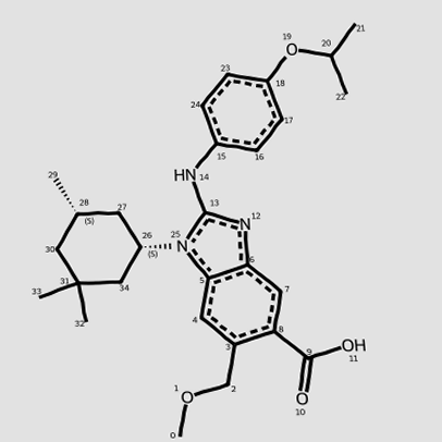 COCc1cc2c(cc1C(=O)O)nc(Nc1ccc(OC(C)C)cc1)n2[C@H]1C[C@@H](C)CC(C)(C)C1